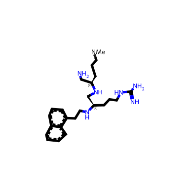 CNCCC[C@H](CN)NC[C@@H](CCCNC(=N)N)NCCc1cccc2ccccc12